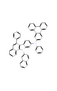 c1ccc(-c2cc3ccccc3c3c2c2ccc(N(c4ccccc4)c4ccc5c6ccccc6c6ccccc6c5c4)cc2n3-c2ccc3ccccc3c2)cc1